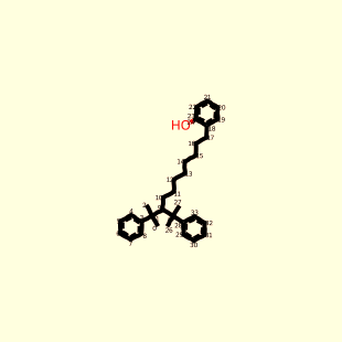 CC(C)(c1ccccc1)C(CCCCCCCCc1ccccc1O)C(C)(C)c1ccccc1